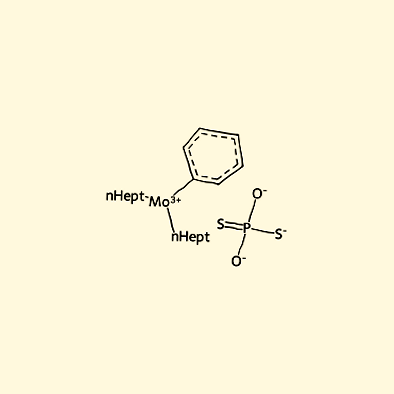 CCCCCC[CH2][Mo+3]([CH2]CCCCCC)[c]1ccccc1.[O-]P([O-])(=S)[S-]